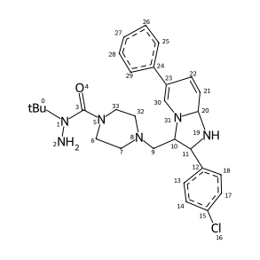 CC(C)(C)N(N)C(=O)N1CCN(CC2C(c3ccc(Cl)cc3)NC3C=CC(c4ccccc4)=CN32)CC1